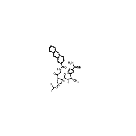 CC(NC(=O)[C@@H]1C[C@@H](OC(F)F)CN1C(=O)CNC(=O)c1ccc2cc3ccccc3cc2c1)c1cc(C(=N)N)cs1